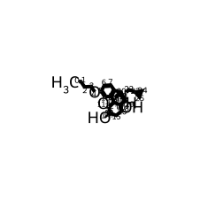 CCCCOc1ccc2c3c1OC1[C@H](O)CC[C@@]4(O)[C@@H](C2)N(CC2CC2)CC[C@]314